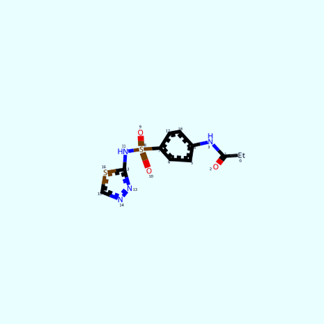 CCC(=O)Nc1ccc(S(=O)(=O)Nc2nncs2)cc1